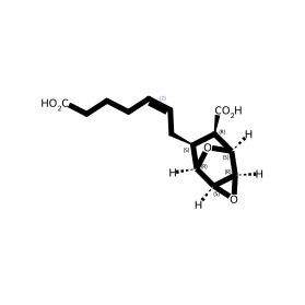 O=C(O)CCC/C=C\C[C@@H]1[C@H]2O[C@H]([C@H]3O[C@H]32)[C@@H]1C(=O)O